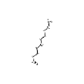 CCCOCCCOCCCC(F)(F)F